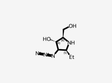 CC[C@@H]1N[C@H](CO)[C@@H](O)C1N=[N+]=[N-]